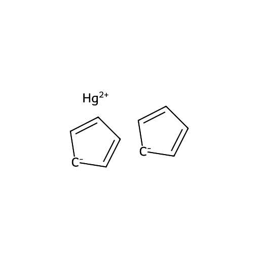 [Hg+2].c1cc[cH-]c1.c1cc[cH-]c1